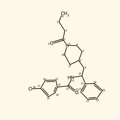 CCCC(=O)N1CCC(CC(NC(=O)c2ccc(Cl)cc2)c2ccccc2)CC1